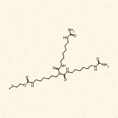 CSCCOC(=O)NCCCCCCN(C(=O)NCCCCCCNC(N)=O)C(=O)NCCCCCCNC(N)=O